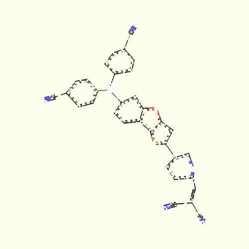 N#CC(C#N)=Cc1ccc(-c2cc3oc4cc(N(c5ccc(C#N)cc5)c5ccc(C#N)cc5)ccc4c3s2)cn1